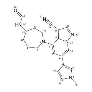 Cn1cc(-c2cc(N3CCCC(NC=O)CC3)c3c(C#N)cnn3c2)cn1